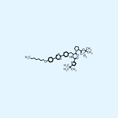 CCCCCCCOc1ccc(-c2cnc(-c3ccc(CC(NC(=O)c4ccc(C(C)(C)C)s4)C(=O)N4CCCC4C(=O)OC(C)(C)C)cc3)nc2)cc1